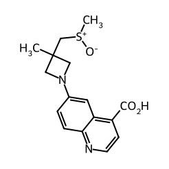 C[S+]([O-])CC1(C)CN(c2ccc3nccc(C(=O)O)c3c2)C1